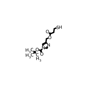 CC(C)(C)OC(=O)n1cnc(COC(=O)CCS)c1